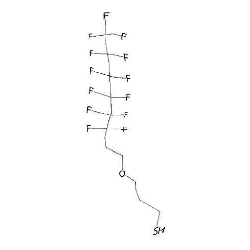 FC(F)(F)C(F)(F)C(F)(F)C(F)(F)C(F)(F)C(F)(F)CCOCCCS